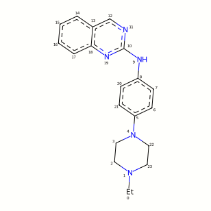 CCN1CCN(c2ccc(Nc3ncc4ccccc4n3)cc2)CC1